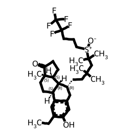 CCc1cc2c(cc1O)C[C@@H](CCC(C)(C)CC(C)(C)[S+]([O-])CCCC(F)(F)C(F)(F)F)[C@@H]1[C@@H]2CC[C@]2(C)C(=O)CC[C@@H]12